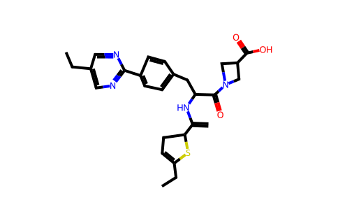 C=C(NC(Cc1ccc(-c2ncc(CC)cn2)cc1)C(=O)N1CC(C(=O)O)C1)C1CC=C(CC)S1